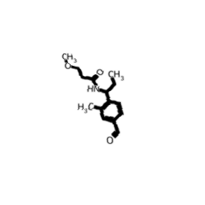 CCC(NC(=O)CCOC)c1ccc(C=O)cc1C